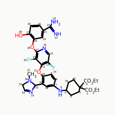 CCOC(=O)C1(C(=O)OCC)CCC(Nc2ccc(Oc3c(F)cnc(Oc4cc(C(=N)N)ccc4O)c3F)c(C3N=CCN3C)c2)CC1